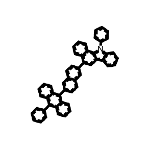 c1ccc(-c2c3ccccc3c(-c3ccc4cc(-c5cc6c7ccccc7n(-c7ccccc7)c6c6ccccc56)ccc4c3)c3ccccc23)cc1